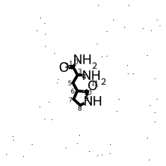 NC(=O)C(N)CC1CCNC1=O